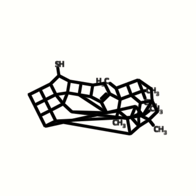 CC1C2C3CC45CC6(C)C78C4C2(C3(C)C)C12C1=C3C4C(C1)C1C9C(S)C%10C%11CC%12C%13C%14C%15C5(C)C%155C%14%15C(C7%14C7C3(C41C91C%103C%12%11C%13%15C713)C2%14C)C685